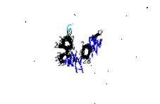 CCn1nnc2c1CCC(Nc1nc3c(-c4ccc(F)cc4C)cccn3n1)C2